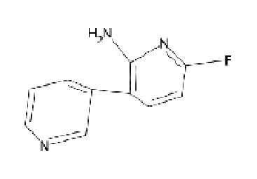 Nc1nc(F)ccc1-c1cccnc1